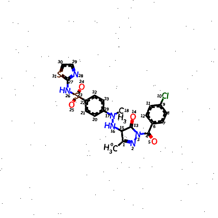 CC1=NN(C(=O)c2ccc(Cl)cc2)C(=O)C1NN(C)c1ccc(S(=O)(=O)Nc2nccs2)cc1